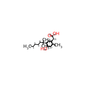 CCCCCC(C)(C)c1cc(CC(=O)O)c(C)cc1O